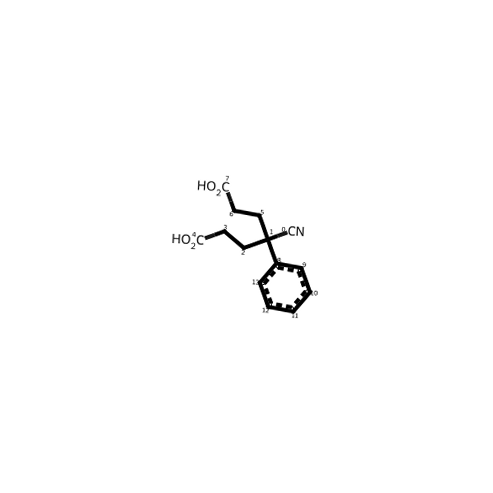 N#CC(CCC(=O)O)(CCC(=O)O)c1ccccc1